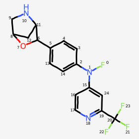 FN(c1ccc(C2OC3CNC2C3)cc1)c1ccnc(C(F)(F)F)c1